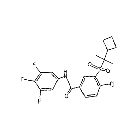 CC(C)(C1CCC1)S(=O)(=O)c1cc(C(=O)Nc2cc(F)c(F)c(F)c2)ccc1Cl